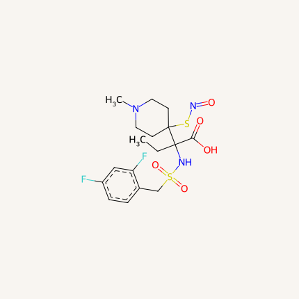 CCC(NS(=O)(=O)Cc1ccc(F)cc1F)(C(=O)O)C1(SN=O)CCN(C)CC1